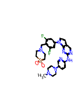 CN1CCN(c2ccc(Nc3ncc4ccn(-c5cc(F)c(CN6CCS(=O)(=O)CC6)c(F)c5)c4n3)nc2)CC1